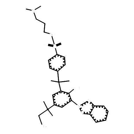 CN(C)CCCNS(=O)(=O)c1ccc(C(C)(C)c2cc(C(C)(C)CC(C)(C)C)cc(-n3nc4ccccc4n3)c2O)cc1